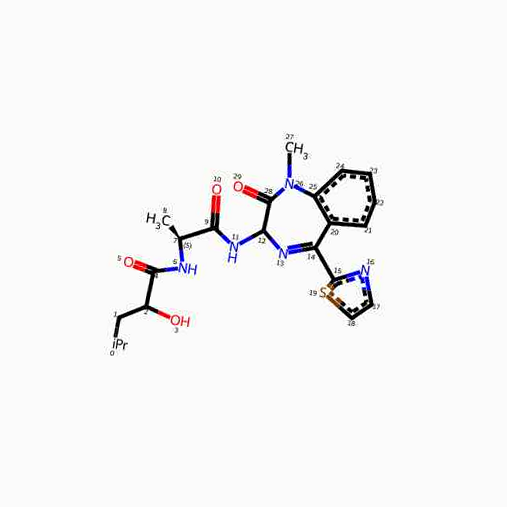 CC(C)CC(O)C(=O)N[C@@H](C)C(=O)NC1N=C(c2nccs2)c2ccccc2N(C)C1=O